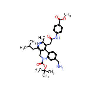 COC(=O)c1ccc(NC(=O)Cc2c(C)nc(CC(C)C)c(CNC(=O)OC(C)(C)C)c2-c2ccc(CN)cc2)cc1